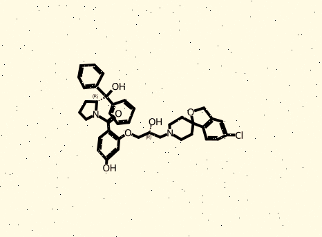 O=C(c1ccc(O)cc1OC[C@H](O)CN1CCC2(CC1)OCc1cc(Cl)ccc12)N1CCC[C@@H]1C(O)(c1ccccc1)c1ccccc1